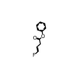 O=C(CC=CF)Oc1ccccc1